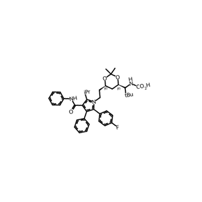 CC(C)c1c(C(=O)Nc2ccccc2)c(-c2ccccc2)c(-c2ccc(F)cc2)n1CC[C@@H]1C[C@H](C(NC(=O)O)C(C)(C)C)OC(C)(C)O1